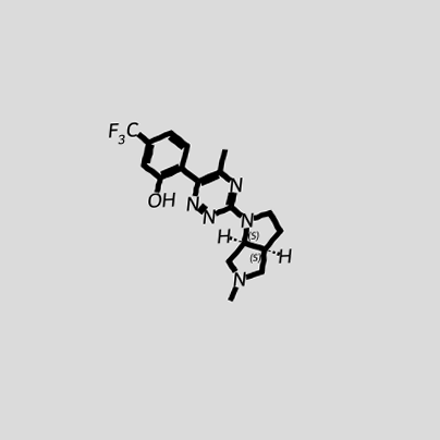 Cc1nc(N2CC[C@H]3CN(C)C[C@H]32)nnc1-c1ccc(C(F)(F)F)cc1O